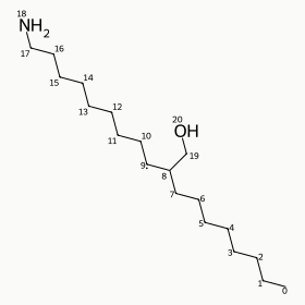 CCCCCCCCC([CH]CCCCCCCCN)CO